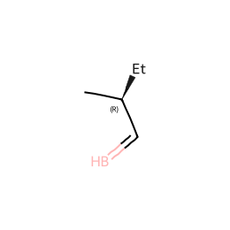 B=C[C@@H](C)CC